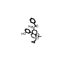 CC(=O)OC12CC[C@H](NC(=O)c3ccccc3)CC1(c1cccc(O)c1)CCN(CC1CC1)C2